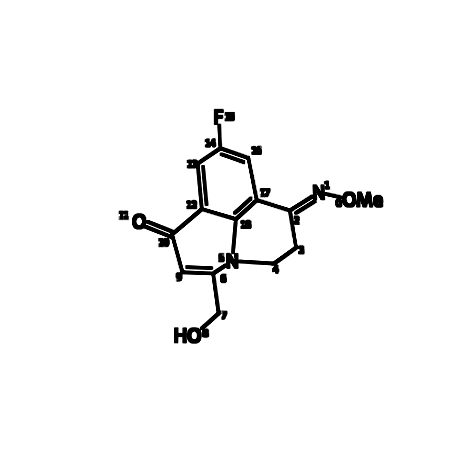 CON=C1CCn2c(CO)cc(=O)c3cc(F)cc1c32